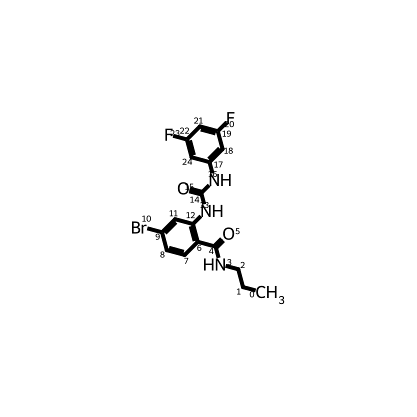 CCCNC(=O)c1ccc(Br)cc1NC(=O)Nc1cc(F)cc(F)c1